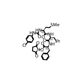 CSCC[C@H](NC(=O)Nc1ccc(Cl)cc1)C(=O)N[C@@H](CC(C)C)C(=O)N[C@@H](Cc1ccccc1)C(=O)ON1C(=O)CCC1=O